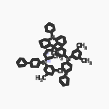 C=C(/C=C\C(=C/C)N(c1ccc(-c2ccccc2)cc1)c1cc(C)cc(C)c1)C1(c2ccc(N(c3ccc(-c4ccccc4)cc3)c3cc(C)cc(C)c3)cc2)c2ccccc2N(c2ccccc2)c2ccccc21